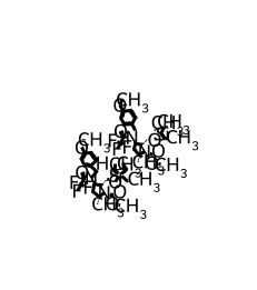 CC[Si](CC)(CC)OC[C@H]1[C@@H](N(Cc2ccc(OC)cc2)C(=O)C(F)(F)F)C[C@@H](C)N1C(=O)OC.CC[Si](CC)(CC)OC[C@H]1[C@@H](N(Cc2ccc(OC)cc2)C(=O)C(F)(F)F)C[C@@H](C)N1C(=O)OC